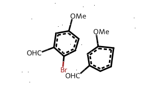 COc1ccc(Br)c(C=O)c1.COc1cccc(C=O)c1